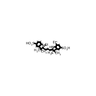 CCc1cc(S(=O)(=O)O)cc2c1NC(=CC=CC1=[N+](CC)c3ccc(S(=O)(=O)O)cc3C1(C)C)C2(C)C